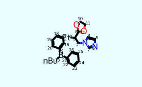 CCC(Cn1ccnc1)C1OCCO1.CCCCB(c1ccccc1)c1ccccc1